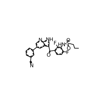 CCCS(=O)(=O)Nc1c(F)ccc(C(=O)c2c[nH]c3ncc(-c4cccc(C#N)c4)cc23)c1F